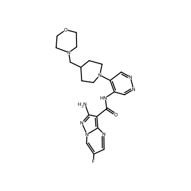 Nc1nn2cc(F)cnc2c1C(=O)Nc1cnncc1N1CCC(CN2CCOCC2)CC1